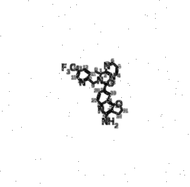 CC(c1ncccn1)N(Cc1ccc(C(F)(F)F)cn1)C(=O)c1ccc2nc(N)c3c(c2c1)OCC3